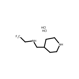 Cl.Cl.FC(F)(F)CNCC1CCNCC1